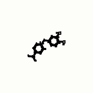 CN(C)c1cc[n+](Cc2ccc(Cl)c(Cl)c2)cc1